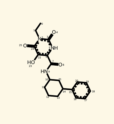 CCn1c(=O)[nH]c(C(=O)NC2CCCC(c3ccccc3)C2)c(O)c1=O